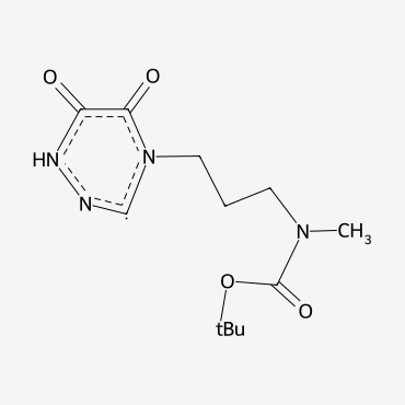 CN(CCCn1[c]n[nH]c(=O)c1=O)C(=O)OC(C)(C)C